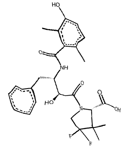 Cc1ccc(O)c(C)c1C(=O)N[C@@H](Cc1ccccc1)[C@H](O)C(=O)N1CC(F)(F)C(C)(C)[C@H]1C(=O)O